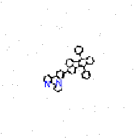 c1ccc(-c2c3c(c(-c4ccccc4)c4ccccc24)-c2ccc(-c4ccc(-c5cccnc5-c5ccccn5)cc4)c4cccc-3c24)cc1